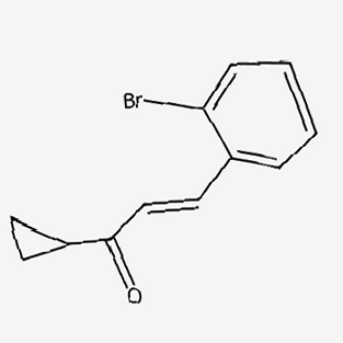 O=C(C=Cc1ccccc1Br)C1CC1